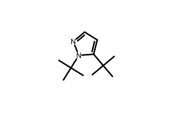 CC(C)(C)c1ccnn1C(C)(C)C